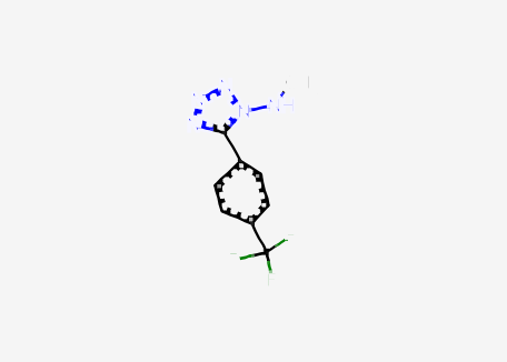 CNn1nnnc1-c1ccc(C(F)(F)F)cc1